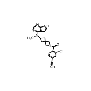 C#Cc1ccc(C(=O)N2CC3(CC(N(C)c4ncnc5[nH]ccc45)C3)C2)c(Cl)c1